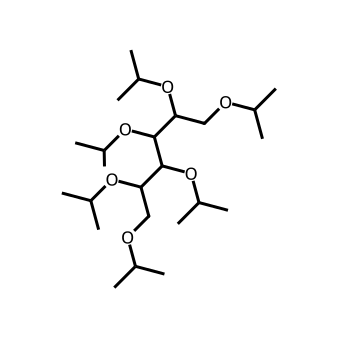 CC(C)OCC(OC(C)C)C(OC(C)C)C(OC(C)C)C(COC(C)C)OC(C)C